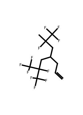 C=CCC(CC(C)(F)C(F)(F)F)CC(F)(C(F)(F)F)C(F)(F)F